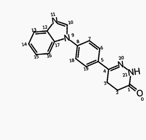 O=C1CCC(c2ccc(-n3cnc4ccccc43)cc2)=NN1